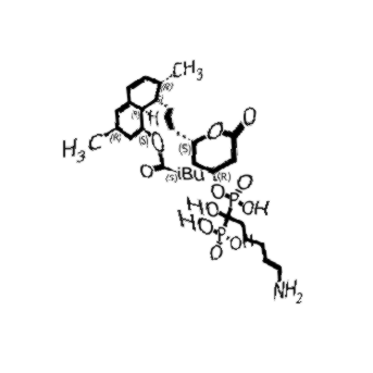 CC[C@H](C)C(=O)O[C@H]1C[C@@H](C)C=C2C=C[C@H](C)[C@H](CC[C@H]3C[C@@H](OP(=O)(O)C(O)(CCCCCN)P(=O)(O)O)CC(=O)O3)[C@H]21